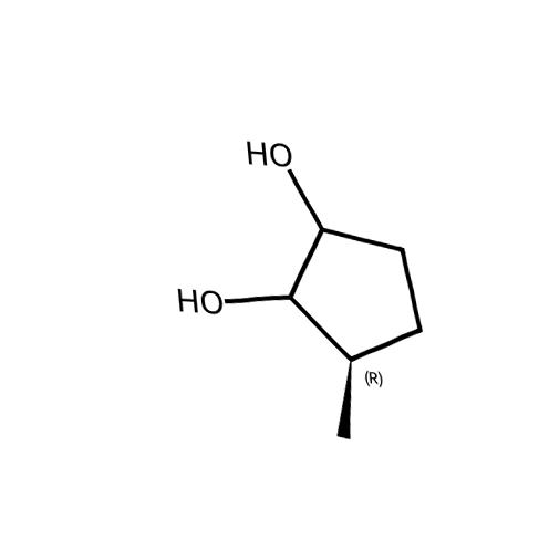 C[C@@H]1CCC(O)C1O